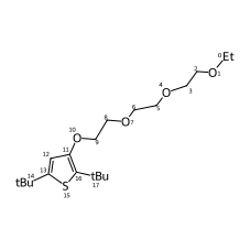 CCOCCOCCOCCOc1cc(C(C)(C)C)sc1C(C)(C)C